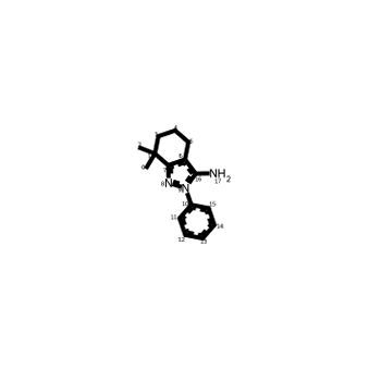 CC1(C)CCCc2c1nn(-c1ccccc1)c2N